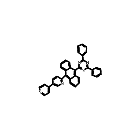 c1ccc(-c2nc(-c3ccccc3)nc(-c3c4ccccc4c(-c4ccc(-c5ccncc5)cn4)c4ccccc34)n2)cc1